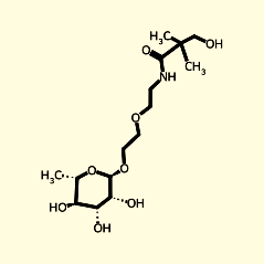 C[C@@H]1O[C@@H](OCCOCCNC(=O)C(C)(C)CO)[C@H](O)[C@H](O)[C@H]1O